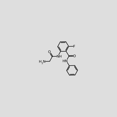 NCC(=O)Nc1cccc(F)c1C(=O)Nc1ccccc1